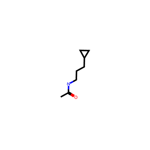 CC(=O)[N]CCCC1CC1